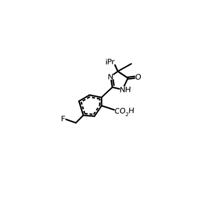 CC(C)C1(C)N=C(c2ccc(CF)cc2C(=O)O)NC1=O